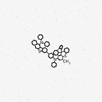 CC1C=C(N(c2ccccc2)c2ccc(-c3ccc4c(c3)sc3cc5ccccc5c(N(c5ccccc5)c5ccccc5)c34)cc2)C=C2C1Sc1ccccc1C21c2ccccc2-c2ccccc21